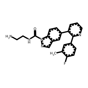 Cc1cc(-c2ncccc2-c2ccc3c(cnn3C(=O)NCCN)c2)ccc1F